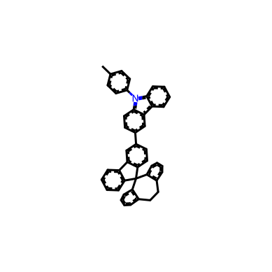 Cc1ccc(-n2c3ccccc3c3cc(-c4ccc5c(c4)-c4ccccc4C54c5ccccc5CCc5ccccc54)ccc32)cc1